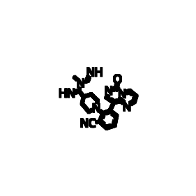 CN(C=N)C(=N)C1CCN(c2c(C#N)cccc2-c2cnc(=O)n3cccnc23)CC1